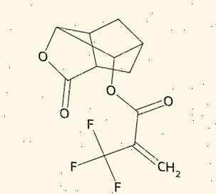 C=C(C(=O)OC1C2CC3C(=O)OC1C3C2)C(F)(F)F